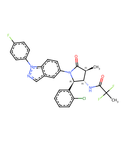 C[C@@H]1C(=O)N(c2ccc3c(cnn3-c3ccc(F)cc3)c2)[C@H](c2ccccc2Cl)[C@H]1NC(=O)C(C)(F)F